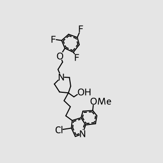 COc1ccc2ncc(Cl)c(CCCC3(CO)CCN(CCOc4c(F)cc(F)cc4F)CC3)c2c1